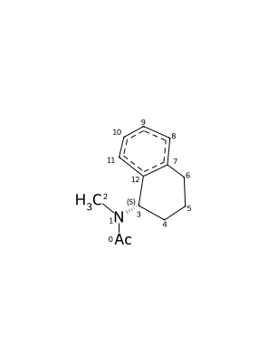 CC(=O)N(C)[C@H]1CCCc2ccccc21